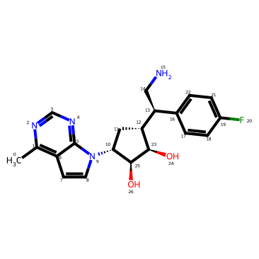 Cc1ncnc2c1ccn2[C@@H]1C[C@H]([C@@H](CN)c2ccc(F)cc2)[C@@H](O)[C@H]1O